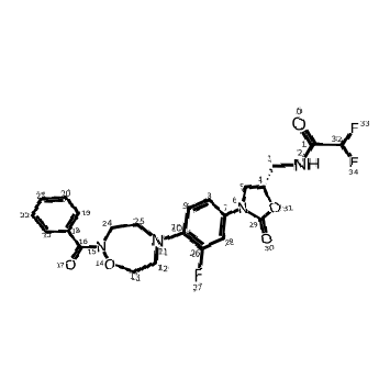 O=C(NC[C@H]1CN(c2ccc(N3CCON(C(=O)c4ccccc4)CC3)c(F)c2)C(=O)O1)C(F)F